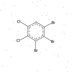 Clc1[c]c(Br)c(Br)c(Br)c1Cl